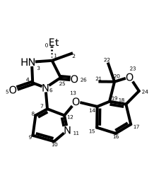 CC[C@@]1(C)NC(=O)N(c2cccnc2Oc2cccc3c2C(C)(C)OC3)C1=O